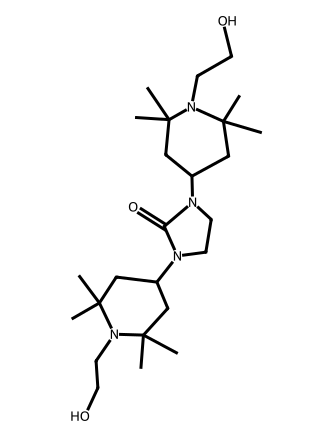 CC1(C)CC(N2CCN(C3CC(C)(C)N(CCO)C(C)(C)C3)C2=O)CC(C)(C)N1CCO